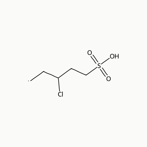 [CH2]CC(Cl)CCS(=O)(=O)O